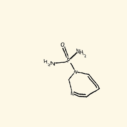 NP(N)(=O)N1C=CC=NC1